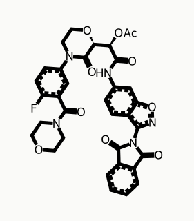 CC(=O)O[C@@H](C(=O)Nc1ccc2c(N3C(=O)c4ccccc4C3=O)noc2c1)[C@H]1OCCN(c2ccc(F)c(C(=O)N3CCOCC3)c2)C1=O